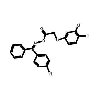 O=C(COc1ccc(Cl)c(Cl)c1)ON=C(c1ccccc1)c1ccc(Cl)cc1